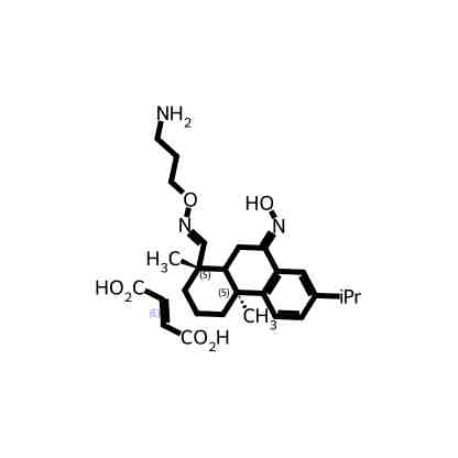 CC(C)c1ccc2c(c1)C(=NO)CC1[C@@](C)(C=NOCCCN)CCC[C@]21C.O=C(O)/C=C/C(=O)O